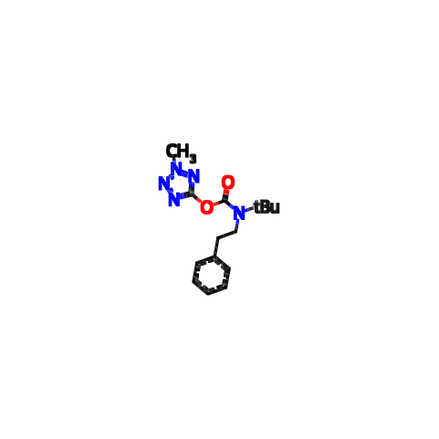 Cn1nnc(OC(=O)N(CCc2ccccc2)C(C)(C)C)n1